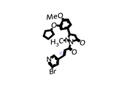 COc1ccc(C2CC(=O)N(C(=O)/C=C/c3cncc(Br)c3)N2C)cc1OC1CCCC1